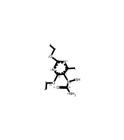 CCOc1nc(C)c(N(S)C(N)=O)c(OCC)n1